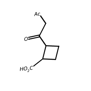 CC(=O)CC(=O)C1CCC1C(=O)O